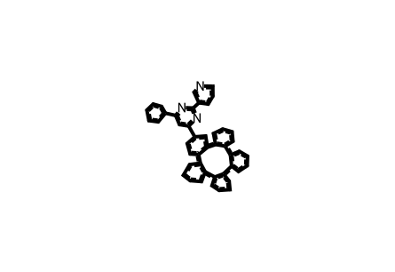 c1ccc(-c2cc(-c3ccc4c5ccccc5c5ccccc5c5ccccc5c5ccccc5c4c3)nc(-c3cccnc3)n2)cc1